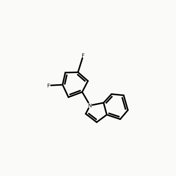 Fc1cc(F)cc(-n2ccc3ccccc32)c1